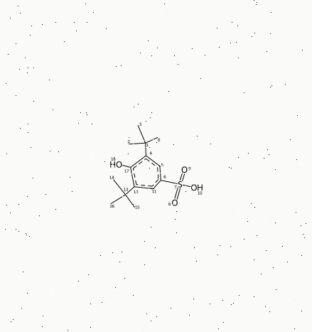 CC(C)(C)c1cc(S(=O)(=O)O)cc(C(C)(C)C)c1O